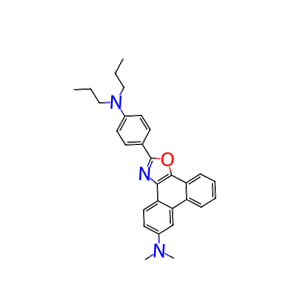 CCCN(CCC)c1ccc(-c2nc3c4ccc(N(C)C)cc4c4ccccc4c3o2)cc1